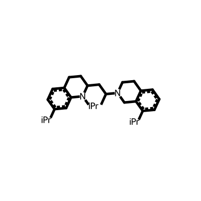 CC(C)c1ccc2c(c1)N(C(C)C)C(CC(C)N1CCc3cccc(C(C)C)c3C1)CC2